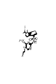 COc1nc(NS(=O)(=O)c2csc3nc(C(F)F)ccc23)ncc1OCCF